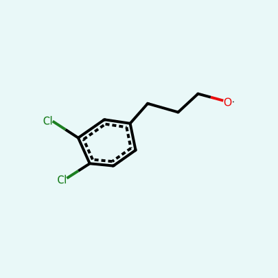 [O]CCCc1ccc(Cl)c(Cl)c1